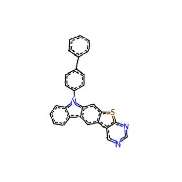 c1ccc(-c2ccc(-n3c4ccccc4c4cc5c(cc43)sc3ncncc35)cc2)cc1